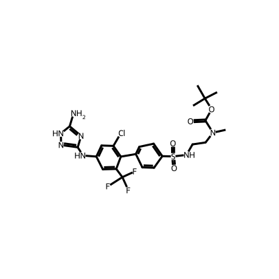 CN(CCNS(=O)(=O)c1ccc(-c2c(Cl)cc(Nc3n[nH]c(N)n3)cc2C(F)(F)F)cc1)C(=O)OC(C)(C)C